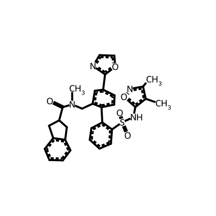 Cc1noc(NS(=O)(=O)c2ccccc2-c2ccc(-c3ncco3)cc2CN(C)C(=O)C2Cc3ccccc3C2)c1C